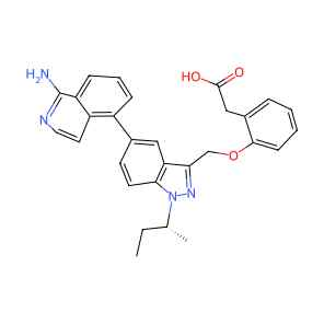 CC[C@@H](C)n1nc(COc2ccccc2CC(=O)O)c2cc(-c3cccc4c(N)nccc34)ccc21